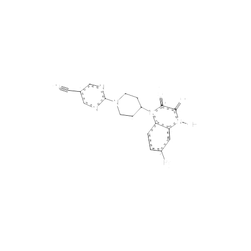 Cn1c(=O)c(=O)n(C2CCN(c3ncc(C#N)cn3)CC2)c2ccc(Br)cc21